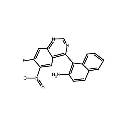 Nc1ccc2ccccc2c1-c1ncnc2cc(F)c([N+](=O)[O-])cc12